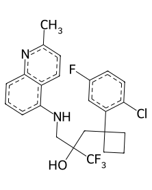 Cc1ccc2c(NCC(O)(CC3(c4cc(F)ccc4Cl)CCC3)C(F)(F)F)cccc2n1